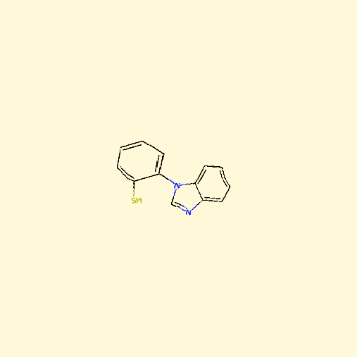 Sc1ccccc1-n1cnc2ccccc21